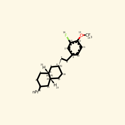 CCCC1CC[C@@H]2C[C@H](CCc3ccc(OC(F)(F)F)c(F)c3)CC[C@@H]2C1